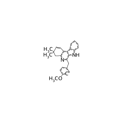 COc1ccc(Cc2nc3c(c4c2[nH]c2ccccc24)C=CC(C)(C)C3)cc1